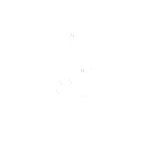 NS(=O)(=O)c1ccc2c(c1)CC(C(=O)N1CC3(C1)CN(c1ncncc1Oc1ccc(F)cc1Cl)C3)C2